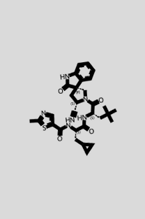 Cc1ncc(C(=O)N[C@@H](CC2CC2)C(=O)N[C@@H](CC(C)(C)C)C(=O)N2C[C@]3(C[C@H]2C#N)C(=O)Nc2ccccc23)s1